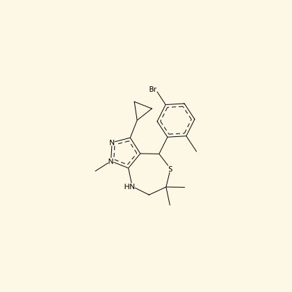 Cc1ccc(Br)cc1C1SC(C)(C)CNc2c1c(C1CC1)nn2C